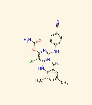 Cc1cc(C)c(Nc2nc(Nc3ccc(C#N)cc3)nc(OC(N)=O)c2Br)c(C)c1